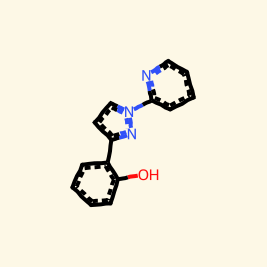 Oc1ccccc1-c1ccn(-c2ccccn2)n1